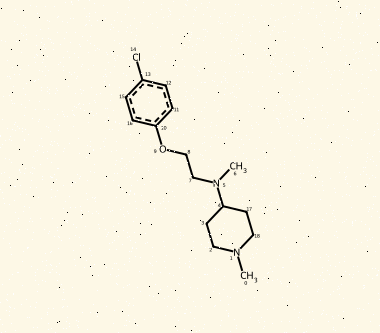 CN1CCC(N(C)CCOc2ccc(Cl)cc2)CC1